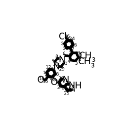 CC1(C)CCC(CN2CCN(c3ccc(C=O)c(Oc4cnc5[nH]ccc5c4)c3)CC2)=C(c2ccc(Cl)cc2)C1